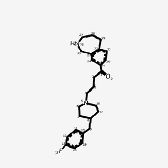 O=C(CCCN1CCC(Cc2ccc(F)cc2)CC1)c1ccc2c(c1)CNCCC2